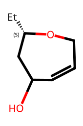 CC[C@H]1CC(O)C=CCO1